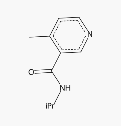 Cc1ccncc1C(=O)NC(C)C